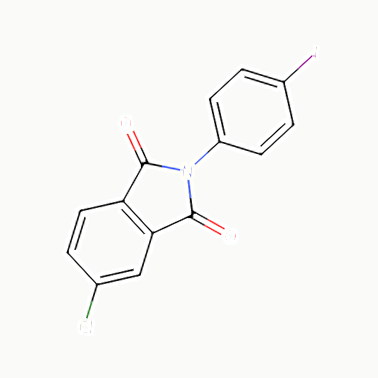 O=C1c2ccc(Cl)cc2C(=O)N1c1ccc(I)cc1